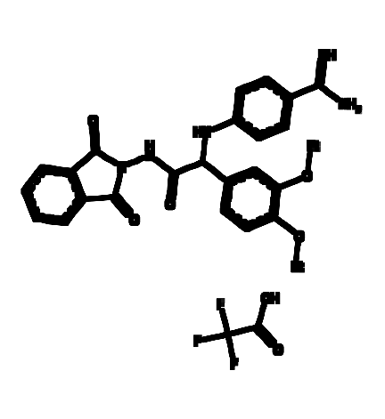 CCOc1ccc(C(Nc2ccc(C(=N)N)cc2)C(=O)NN2C(=O)c3ccccc3C2=O)cc1OCC.O=C(O)C(F)(F)F